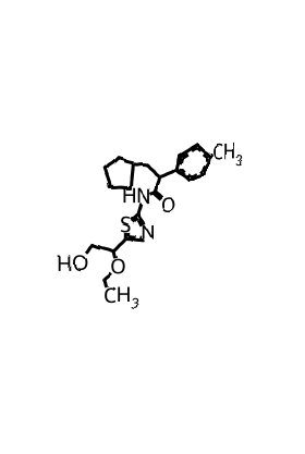 CCOC(CO)c1cnc(NC(=O)C(CC2CCCC2)c2ccc(C)cc2)s1